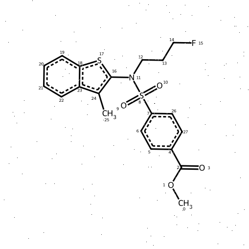 COC(=O)c1ccc(S(=O)(=O)N(CCCF)c2sc3ccccc3c2C)cc1